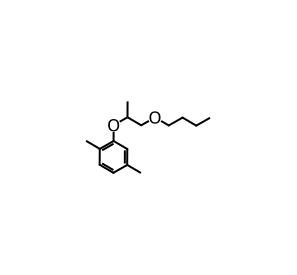 CCCCOCC(C)Oc1cc(C)ccc1C